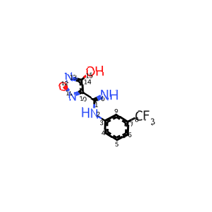 N=C(Nc1cccc(C(F)(F)F)c1)c1nonc1O